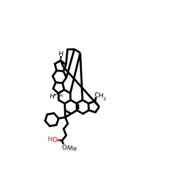 COC(O)CCCC1(C2CCCCC2)C2C3=C4C5C6C(C3)CC(C[C@@H]3CC7CC8C[C@@H]9CC(C4C4C5C5CC3C7C5C8C49)C21)C6C